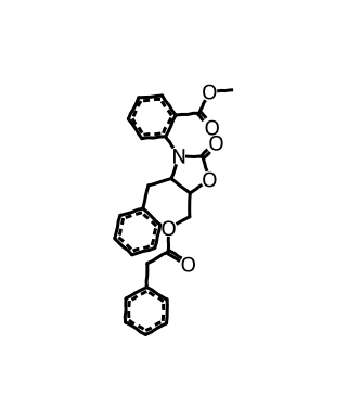 COC(=O)c1ccccc1N1C(=O)OC(COC(=O)Cc2ccccc2)C1Cc1ccccc1